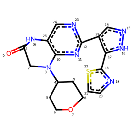 O=C1CN(C2CCOCC2)c2nc(-c3cn[nH]c3-c3nccs3)ncc2N1